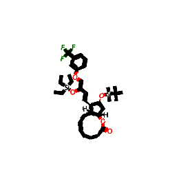 CC[Si](CC)(CC)OC(/C=C/[C@@H]1[C@H]2CC=CCCCC(=O)O[C@H]2C[C@H]1O[Si](C)(C)C(C)(C)C)COc1cccc(C(F)(F)F)c1